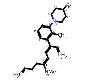 C=CCC/C(=C\C=C(/C=C)c1cccc(N2CCC(CC)CC2)c1C)NC